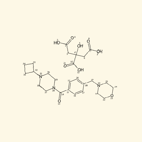 O=C(O)CC(O)(CC(=O)O)C(=O)O.O=C(c1ccc(CN2CCOCC2)cc1)N1CCN(C2CCC2)CC1